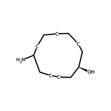 NC1CCCCCC[C@@H](O)CCCC1